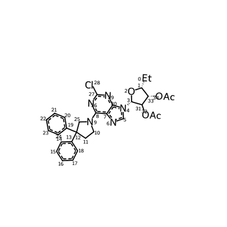 CC[C@H]1O[C@@H](n2cnc3c(N4CCC(c5ccccc5)(c5ccccc5)C4)nc(Cl)nc32)C(OC(C)=O)[C@H]1OC(C)=O